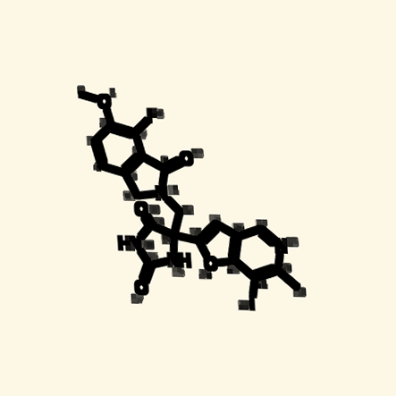 COc1ccc2c(c1F)C(=O)N(CC1(c3cc4cnc(C)c(I)c4o3)NC(=O)NC1=O)C2